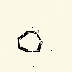 C1=CC=N[SiH2]C=C1